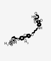 CC(C)(c1ccc(OCCCCCNc2ccc3c(c2)C(=O)N(C2CCC(=O)NC2=O)C3=O)cc1)c1ccc(OCc2ccnc(NS(C)(=O)=O)n2)cc1